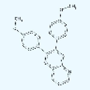 COc1ccc(-c2nc3cccnc3nc2-c2ccc(OC)cc2)cc1